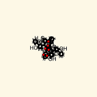 Cc1cc(O)c(C2CCCCC2)cc1C(c1cc(C2CCCCC2)c(O)cc1C)c1cc(C23CC4CC(C2)C(C)C(c2cc(C)c(O)c(C(c5cc(C6CCCCC6)c(O)cc5C)c5cc(C6CCCCC6)c(O)cc5C)c2)(C4)C3)cc(C)c1O